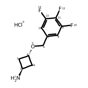 Cl.N[C@H]1C[C@H](OCc2cc(F)c(F)c(F)c2)C1